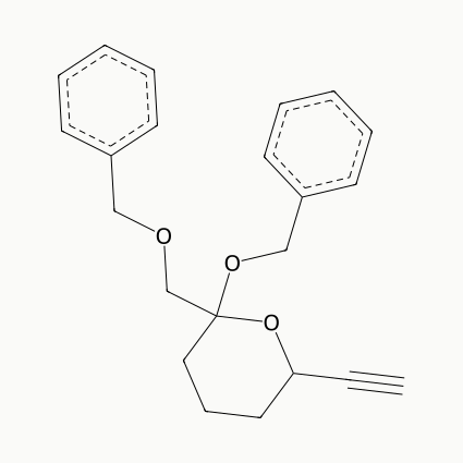 C#CC1CCCC(COCc2ccccc2)(OCc2ccccc2)O1